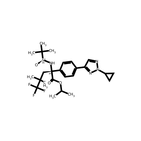 CC(C)OC(=O)[C@](CC(C)(C)C(F)(F)F)(N[S@@+]([O-])C(C)(C)C)c1ccc(-c2cnn(C3CC3)n2)cc1